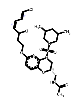 CC(=O)NC[C@H]1CN(S(=O)(=O)N2CC(C)CC(C)C2)c2nc(OCCC(Cl)/C=C\C=C\Cl)ccc2O1